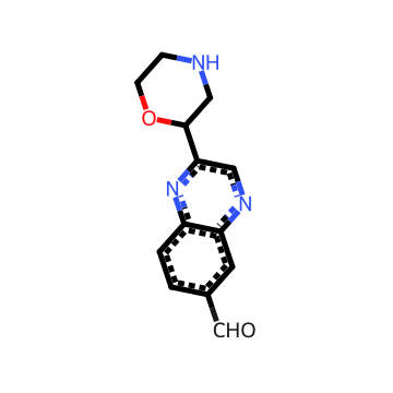 O=Cc1ccc2nc(C3CNCCO3)cnc2c1